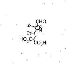 CCC(CC(C(=O)O)C(=O)O)c1noc(C=O)c1C1CC1